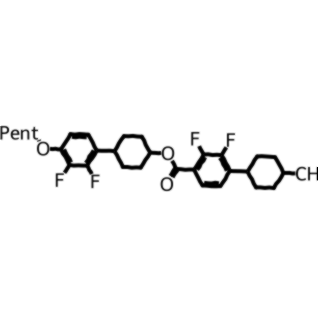 CCCCCOc1ccc(C2CCC(OC(=O)c3ccc(C4CCC(C)CC4)c(F)c3F)CC2)c(F)c1F